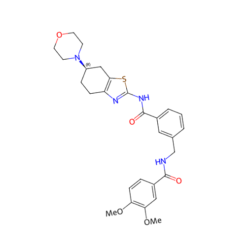 COc1ccc(C(=O)NCc2cccc(C(=O)Nc3nc4c(s3)C[C@H](N3CCOCC3)CC4)c2)cc1OC